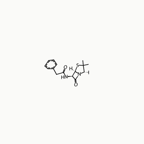 CC1(C)S[C@@H]2[C@H](NC(=O)Cc3ccccc3)C(=O)N2[C@H]1I